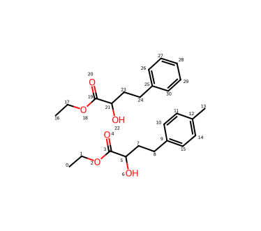 CCOC(=O)C(O)CCc1ccc(C)cc1.CCOC(=O)C(O)CCc1ccccc1